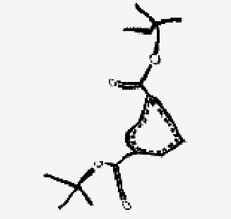 CC(C)(C)OC(=O)c1c[c]cc(C(=O)OC(C)(C)C)c1